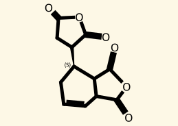 O=C1CC([C@@H]2CC=CC3C(=O)OC(=O)C32)C(=O)O1